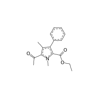 CCOC(=O)c1c(-c2ccccc2)c(C)c(C(C)=O)n1C